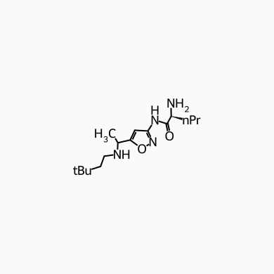 CCC[C@H](N)C(=O)Nc1cc(C(C)NCCC(C)(C)C)on1